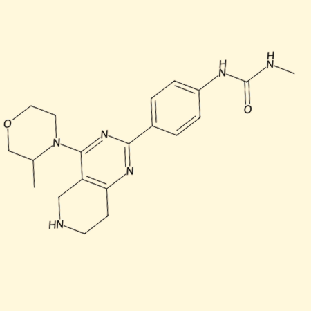 CNC(=O)Nc1ccc(-c2nc3c(c(N4CCOCC4C)n2)CNCC3)cc1